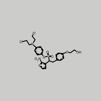 O=[N+]([O-])c1sccc1C(Cc1ccc(OCCO)cc1)S(=O)(=O)Oc1ccc(N(CCCl)CCCl)cc1